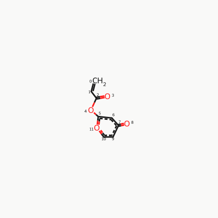 C=CC(=O)Oc1cc(=O)cco1